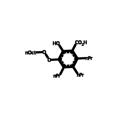 CCCCCCCCOOc1c(O)c(C(=O)O)c(CCC)c(CCC)c1CCC